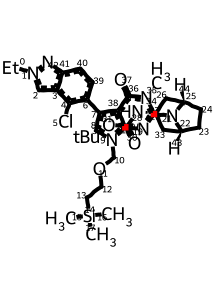 CCn1cc2c(Cl)c(-c3cn(COCC[Si](C)(C)C)c4nc(N5[C@@H]6CC[C@H]5C[C@@H](NC(=O)OC(C)(C)C)C6)n(C)c(=O)c34)ccc2n1